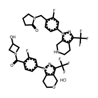 Cl.O=C(c1ccc(-n2nc(C(F)(F)F)c3c2CCOC3)cc1F)N1CC(O)C1.O=C1CCCN1Cc1ccc(-n2nc(C(F)(F)F)c3c2CNCC3)cc1F